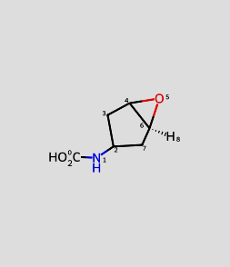 O=C(O)NC1CC2O[C@H]2C1